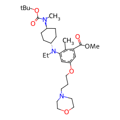 CCN(c1cc(OCCCN2CCOCC2)cc(C(=O)OC)c1C)[C@H]1CC[C@H](N(C)C(=O)OC(C)(C)C)CC1